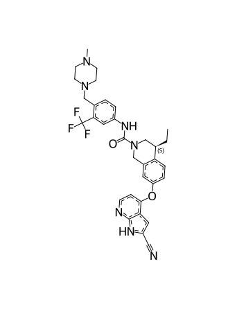 CC[C@@H]1CN(C(=O)Nc2ccc(CN3CCN(C)CC3)c(C(F)(F)F)c2)Cc2cc(Oc3ccnc4[nH]c(C#N)cc34)ccc21